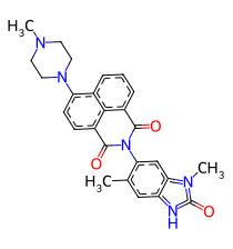 Cc1cc2[nH]c(=O)n(C)c2cc1N1C(=O)c2cccc3c(N4CCN(C)CC4)ccc(c23)C1=O